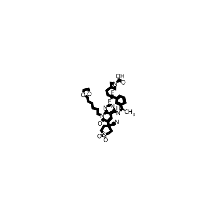 C[C@@H](Nc1ncnc2c1cc(C1(C#N)CCS(=O)(=O)CC1)c(=O)n2CCCCCC1OCCO1)c1cccc(C(F)(F)CCC2CN(C(=O)O)C2)c1